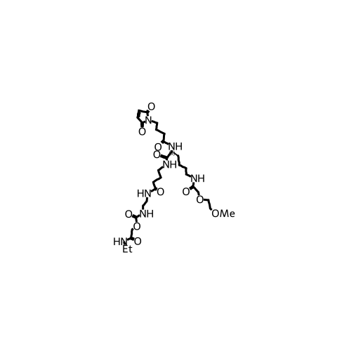 CCNC(=O)COC(=O)NCCNC(=O)CCCNC(=O)[C@H](CCCCNC(=O)COCCOC)NC(=O)CCCN1C(=O)C=CC1=O